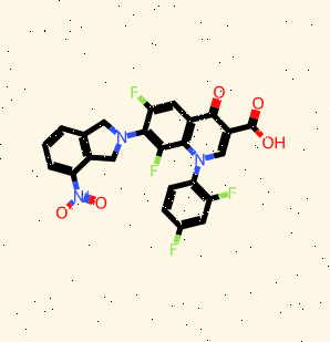 O=C(O)c1cn(-c2ccc(F)cc2F)c2c(F)c(N3Cc4cccc([N+](=O)[O-])c4C3)c(F)cc2c1=O